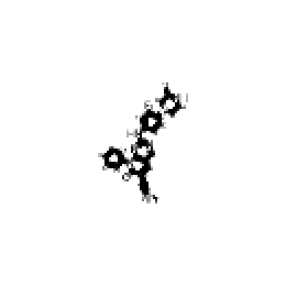 CC(C)C#Cc1cc2cnc(Nc3ccc(N4CCNC(C)C4)c(F)c3)nc2n(-c2ccccc2)c1=O